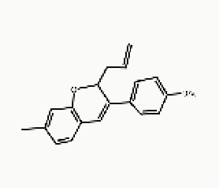 C=CCC1Oc2cc(C)ccc2C=C1c1ccc(OC(C)=O)cc1